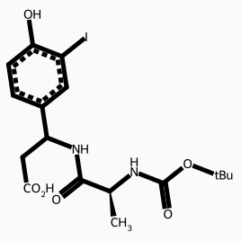 C[C@H](NC(=O)OC(C)(C)C)C(=O)NC(CC(=O)O)c1ccc(O)c(I)c1